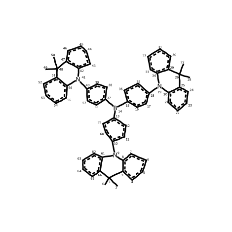 CC1(C)c2ccccc2N(c2ccc(B(c3ccc(N4c5ccccc5C(C)(C)c5ccccc54)cc3)c3ccc(N4c5ccccc5C(C)(C)c5ccccc54)cc3)cc2)c2ccccc21